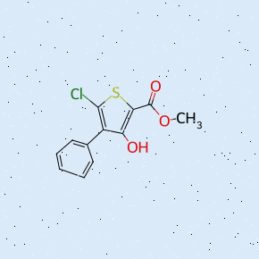 COC(=O)c1sc(Cl)c(-c2ccccc2)c1O